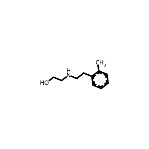 Cc1ccccc1CCNCCO